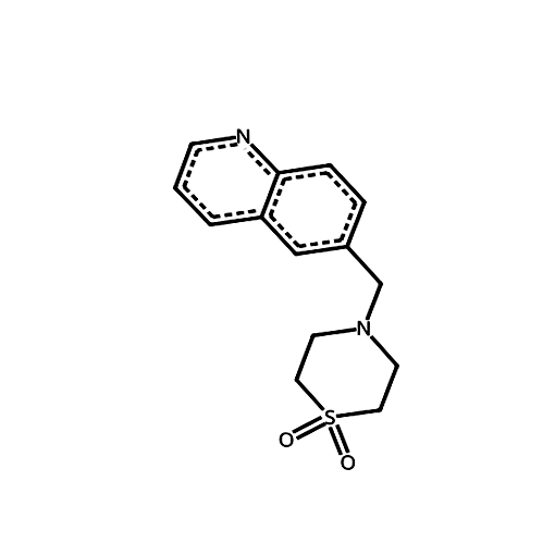 O=S1(=O)CCN(Cc2ccc3ncccc3c2)CC1